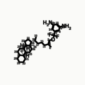 CC(=COC(F)(F)c1cc(N)cc(N)c1)CCCC(C)[C@H]1CC[C@H]2[C@@H]3CCC4CCCC[C@]4(C)[C@H]3CC[C@]12C